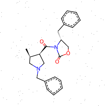 C[C@@H]1CN(Cc2ccccc2)C[C@@H]1C(=O)N1C(=O)OC[C@H]1Cc1ccccc1